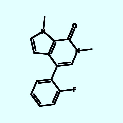 Cn1cc(-c2ccccc2F)c2ccn(C)c2c1=O